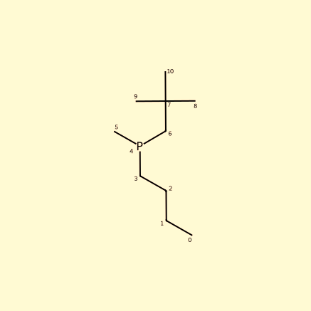 CCCCP(C)CC(C)(C)C